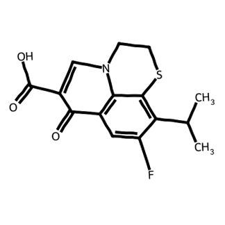 CC(C)c1c(F)cc2c(=O)c(C(=O)O)cn3c2c1SCC3